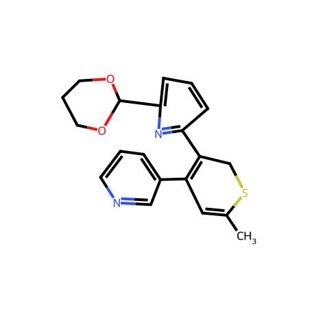 CC1=CC(c2cccnc2)=C(c2cccc(C3OCCCO3)n2)CS1